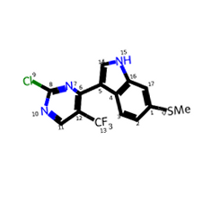 CSc1ccc2c(-c3nc(Cl)ncc3C(F)(F)F)c[nH]c2c1